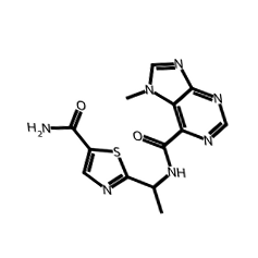 CC(NC(=O)c1ncnc2ncn(C)c12)c1ncc(C(N)=O)s1